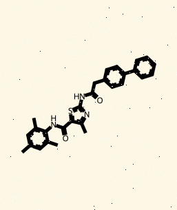 Cc1cc(C)c(NC(=O)c2sc(NC(=O)Cc3ccc(-c4ccccc4)cc3)nc2C)c(C)c1